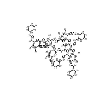 CCC1O[C@H](OCC2O[C@@H](O[C@@H]3C(COCc4ccccc4)O[C@@H](OCc4ccccc4)C(C)[C@H]3C)C(OCc3ccccc3)[C@@H](O[C@@H]3OC(CC)[C@H](C)[C@@H](C)C3OC(C)=O)[C@@H]2C)C(O[C@@H]2OC(CC)[C@@H](O[C@@H]3OC(COCc4ccccc4)[C@H](C)[C@H](C)C3OC(C)=O)[C@H](C)C2C)[C@@H](C)[C@@H]1C